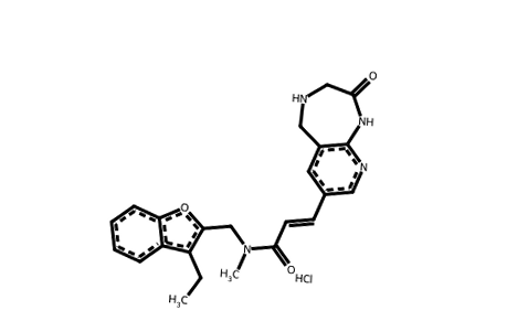 CCc1c(CN(C)C(=O)C=Cc2cnc3c(c2)CNCC(=O)N3)oc2ccccc12.Cl